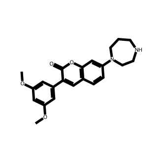 COc1cc(OC)cc(-c2cc3ccc(N4CCCNCC4)cc3oc2=O)c1